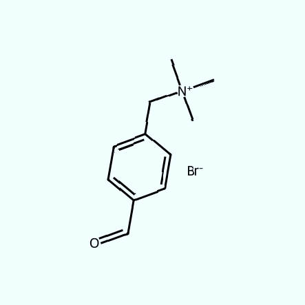 C[N+](C)(C)Cc1ccc(C=O)cc1.[Br-]